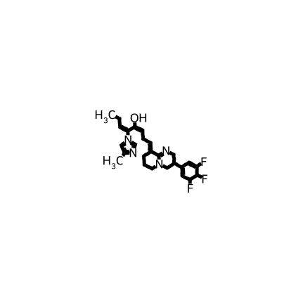 CC/C=C(\C(O)=C/C/C=C1\CCCN2CC(C3=CC(F)C(F)C(F)=C3)CN=C12)n1cnc(C)c1